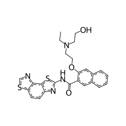 CCN(CCO)CCOc1cc2ccccc2cc1C(=O)Nc1nc2ccc3scnc3c2s1